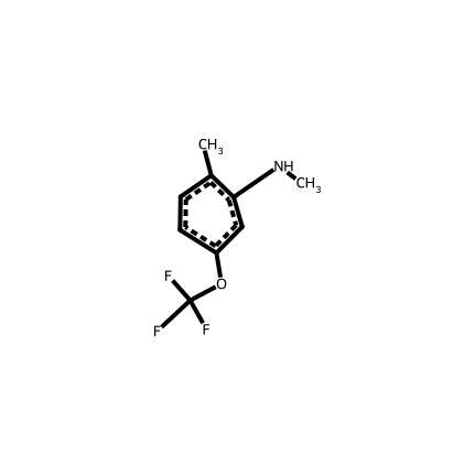 CNc1cc(OC(F)(F)F)ccc1C